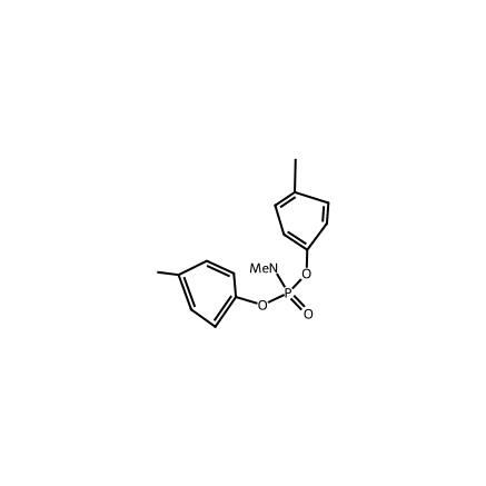 CNP(=O)(Oc1ccc(C)cc1)Oc1ccc(C)cc1